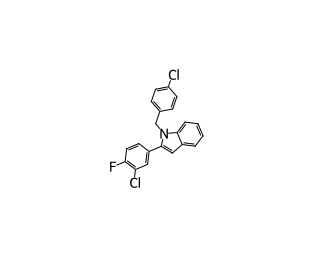 Fc1ccc(-c2cc3ccccc3n2Cc2ccc(Cl)cc2)cc1Cl